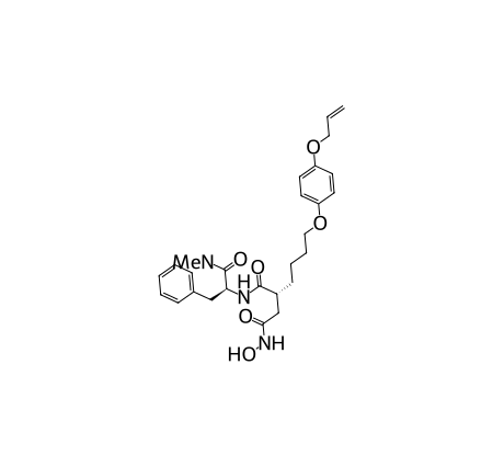 C=CCOc1ccc(OCCCC[C@H](CC(=O)NO)C(=O)N[C@@H](Cc2ccccc2)C(=O)NC)cc1